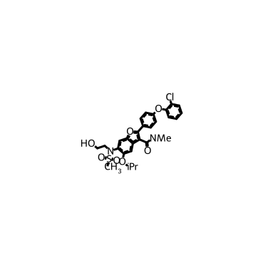 CNC(=O)c1c(-c2ccc(Oc3ccccc3Cl)cc2)oc2cc(N(CCO)S(C)(=O)=O)c(OC(C)C)cc12